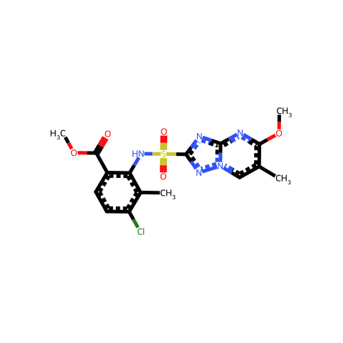 COC(=O)c1ccc(Cl)c(C)c1NS(=O)(=O)c1nc2nc(OC)c(C)cn2n1